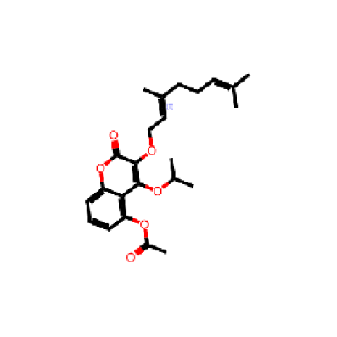 CC(=O)Oc1cccc2oc(=O)c(OC/C=C(\C)CCC=C(C)C)c(OC(C)C)c12